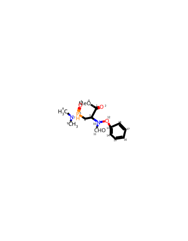 COC(=O)C(C[PH](=O)N(C)C)N(C=O)Oc1ccccc1